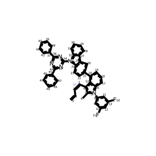 C=C/C=C\c1c(C)n(-c2cc(F)cc(F)c2)c2cccc(-c3ccc4c(c3)c3ccccc3n4-c3nc(-c4ccccc4)nc(-c4ccccc4)n3)c12